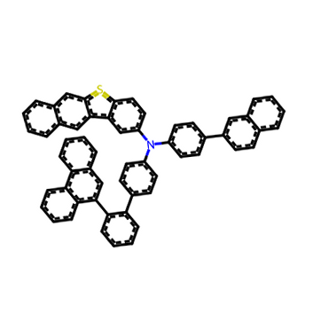 c1ccc(-c2cc3ccccc3c3ccccc23)c(-c2ccc(N(c3ccc(-c4ccc5ccccc5c4)cc3)c3ccc4sc5cc6ccccc6cc5c4c3)cc2)c1